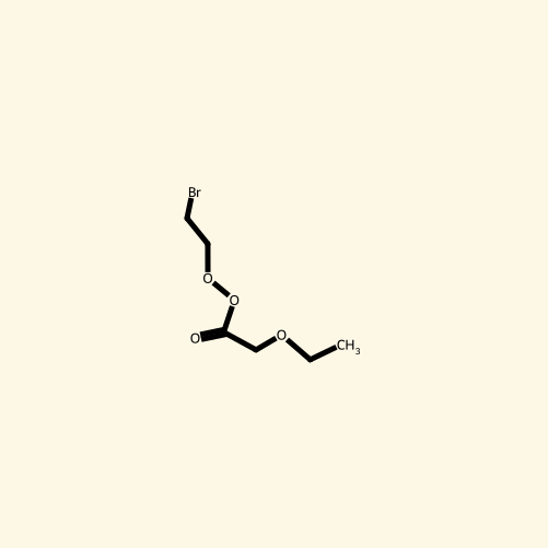 CCOCC(=O)OOCCBr